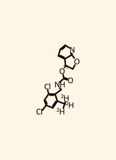 [2H]C([2H])([2H])c1cc(Cl)cc(Cl)c1CNC(=O)O[C@H]1COc2ncccc21